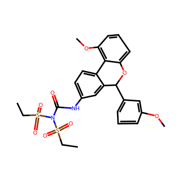 CCS(=O)(=O)N(C(=O)Nc1ccc2c(c1)C(c1cccc(OC)c1)Oc1cccc(OC)c1-2)S(=O)(=O)CC